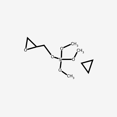 C1CC1.CO[Si](OC)(OC)OCC1CO1